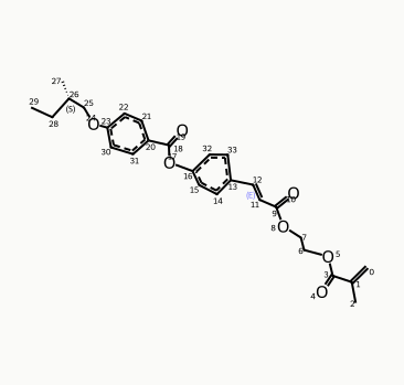 C=C(C)C(=O)OCCOC(=O)/C=C/c1ccc(OC(=O)c2ccc(OC[C@@H](C)CC)cc2)cc1